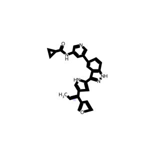 C/C=C(/c1ccoc1)c1c[nH]c(-c2n[nH]c3ccc(-c4cncc(NC(=O)C5CC5)c4)cc23)c1